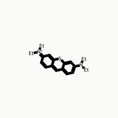 CCN(CC)c1ccc2cc3ccc(=[N+](CC)CC)cc-3sc2c1